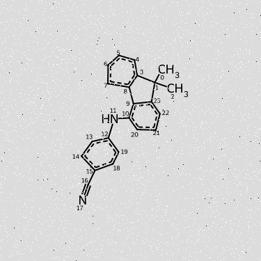 CC1(C)c2ccccc2-c2c(Nc3ccc(C#N)cc3)cccc21